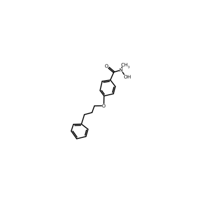 CN(O)C(=O)c1ccc(OCCCc2ccccc2)cc1